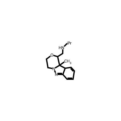 CC(C)NCC1OCCN2N=C3C=CC=CC3C12C